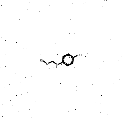 CCOCNc1ccc(O)cc1